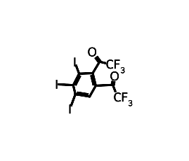 O=C(c1cc(I)c(I)c(I)c1C(=O)C(F)(F)F)C(F)(F)F